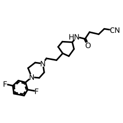 N#CCCCC(=O)NC1CCC(CCN2CCN(c3cc(F)ccc3F)CC2)CC1